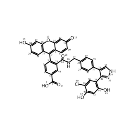 O=C(O)c1ccc(-c2c3ccc(=O)cc-3oc3cc(O)ccc23)c(C(=O)NCc2ccc(-c3c[nH]nc3-c3cc(Cl)c(O)cc3O)cc2)c1